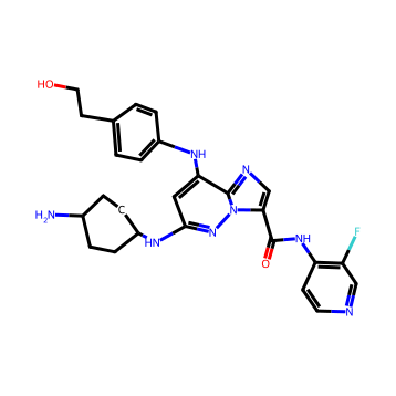 NC1CCC(Nc2cc(Nc3ccc(CCO)cc3)c3ncc(C(=O)Nc4ccncc4F)n3n2)CC1